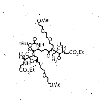 CCOC(=O)CNC(=O)C(C)(C)N(CCOCCOCCOC)C(=O)CCC(NC(=O)OC(C)(C)C)C(=O)N(CCOCCOCCOC)C(C)(C)C(=O)NCC(=O)OCC